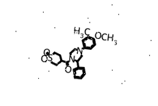 COc1ccc(N2CCN(C(=O)C3CCS(=O)(=O)CC3)C(c3ccccc3)C2)cc1C